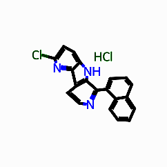 Cl.Clc1ccc2[nH]c3c(-c4cccc5ccccc45)nccc3c2n1